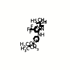 CC(C)(C)OC(=O)N1CCC(Nc2cc(C(F)(F)F)cn3c(C(C)(S)CS)cnc23)CC1